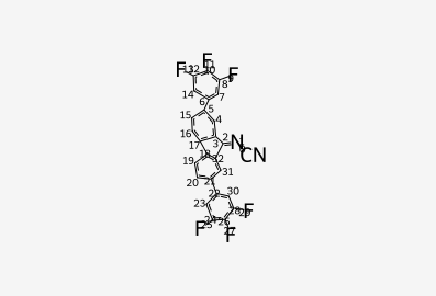 N#CN=C1c2cc(-c3cc(F)c(F)c(F)c3)ccc2-c2ccc(-c3cc(F)c(F)c(F)c3)cc21